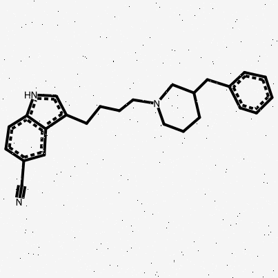 N#Cc1ccc2[nH]cc(CCCCN3CCCC(Cc4ccccc4)C3)c2c1